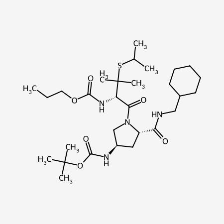 CCCOC(=O)N[C@@H](C(=O)N1C[C@H](NC(=O)OC(C)(C)C)C[C@H]1C(=O)NCC1CCCCC1)C(C)(C)SC(C)C